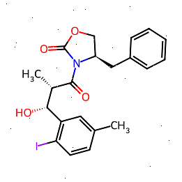 Cc1ccc(I)c([C@H](O)[C@H](C)C(=O)N2C(=O)OC[C@H]2Cc2ccccc2)c1